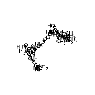 CCCO[C@H](C[C@H](C(C)C)N(CCC)C(=O)[C@@H](NC(=O)[C@H]1CCCCN1C)[C@@H](C)CC)c1nc(C(=O)N[C@H]2Cc3ccc(O)cc3[C@H](C(=O)NNC(=O)OCCOCCOCCOCCNC(=O)OCc3ccc(NC(=O)[C@H](CCCNC(N)=O)NC(=O)[C@@H](NC(=O)CCCC(=O)NCc4ccc(COc5nc(N)nc6[nH]cnc56)cc4)C(C)C)cc3)C2)cs1